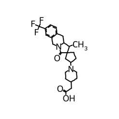 CC1C2Cc3ccc(C(F)(F)F)cc3CN2C(=O)C12CCC(N1CCC(CC(=O)O)CC1)C2